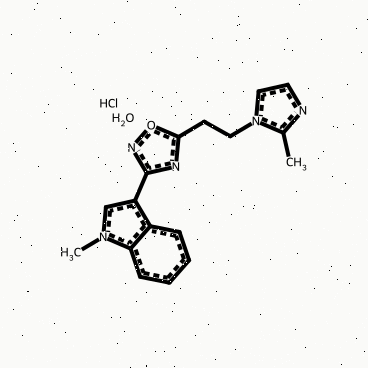 Cc1nccn1CCc1nc(-c2cn(C)c3ccccc23)no1.Cl.O